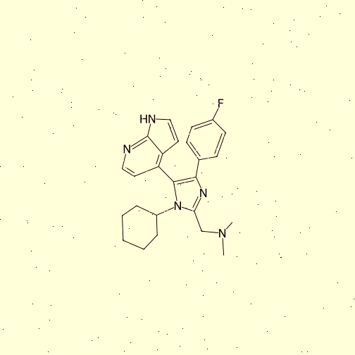 CN(C)Cc1nc(-c2ccc(F)cc2)c(-c2ccnc3[nH]ccc23)n1C1CCCCC1